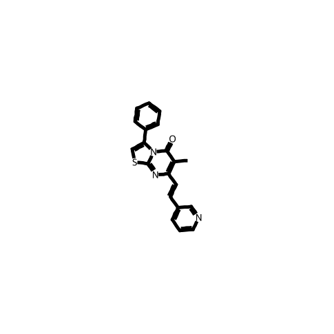 Cc1c(/C=C/c2cccnc2)nc2scc(-c3ccccc3)n2c1=O